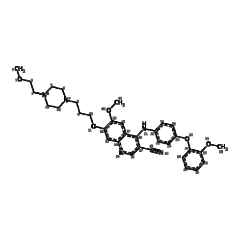 COCCN1CCN(CCCOc2cc3ncc(C#N)c(Nc4ccc(Oc5ccccc5OC)cc4)c3cc2OC)CC1